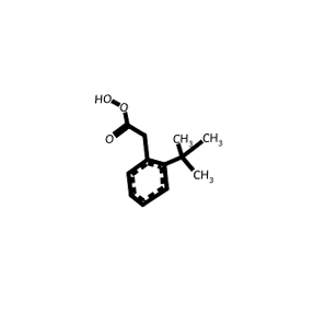 CC(C)(C)c1ccccc1CC(=O)OO